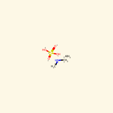 CNC.O=S(=O)(O)O.[AlH3]